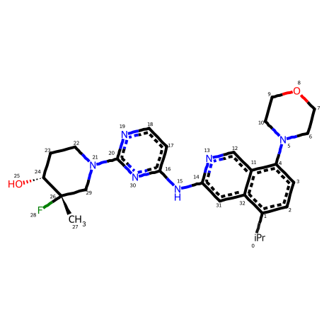 CC(C)c1ccc(N2CCOCC2)c2cnc(Nc3ccnc(N4CC[C@@H](O)[C@@](C)(F)C4)n3)cc12